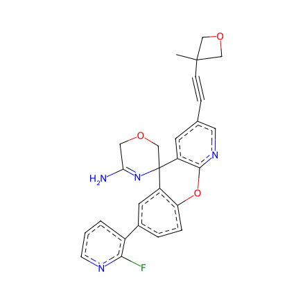 CC1(C#Cc2cnc3c(c2)C2(COCC(N)=N2)c2cc(-c4cccnc4F)ccc2O3)COC1